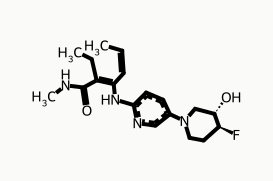 C/C=C\C(Nc1ccc(N2CC[C@H](F)[C@@H](O)C2)cn1)=C(/CC)C(=O)NC